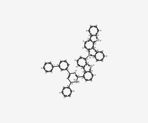 C1=C(c2cccc(-c3ccccc3)c2)N=C(c2cccc3oc4c(-n5c6ccccc6c6c7oc8ccccc8c7ccc65)cccc4c23)NC1c1ccccc1